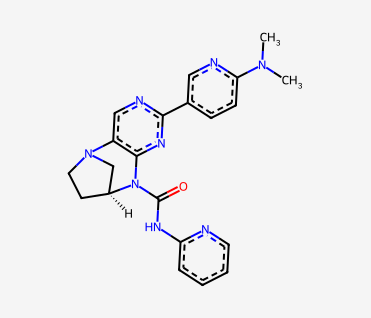 CN(C)c1ccc(-c2ncc3c(n2)N(C(=O)Nc2ccccn2)[C@H]2CCN3C2)cn1